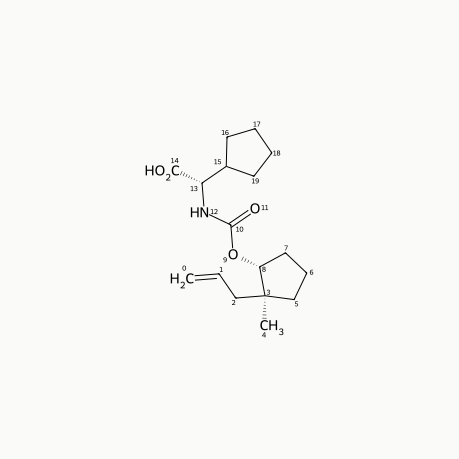 C=CC[C@]1(C)CCC[C@H]1OC(=O)N[C@H](C(=O)O)C1CCCC1